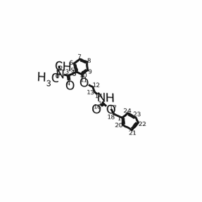 CN(C)C(=O)c1ccccc1OCCNC(=O)OCc1ccccc1